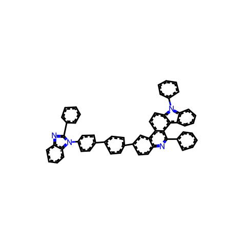 c1ccc(-c2nc3ccc(-c4ccc(-c5ccc(-n6c(-c7ccccc7)nc7ccccc76)cc5)cc4)cc3c3ccc4c(c5ccccc5n4-c4ccccc4)c23)cc1